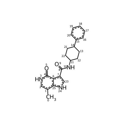 Cc1c[nH]c(=O)c2c(C(=O)NC3CCC(c4ccccc4)CC3)c[nH]c12